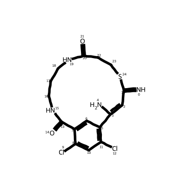 N=C1/C=C(\N)c2cc(c(Cl)cc2Cl)C(=O)NCCCNC(=O)CCS1